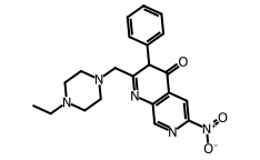 CCN1CCN(CC2=Nc3cnc([N+](=O)[O-])cc3C(=O)C2c2ccccc2)CC1